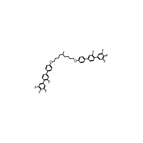 CC(CCCCOc1ccc(-c2ccc(-c3cc(F)c(F)c(F)c3)c(F)c2)cc1)CCCCOc1ccc(-c2ccc(-c3cc(F)c(F)c(F)c3)c(F)c2)cc1